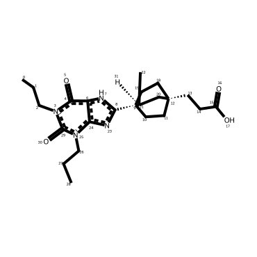 CCCn1c(=O)c2[nH]c([C@]34CC[C@](CCC(=O)O)(CC3)C[C@@H]4C)nc2n(CCC)c1=O